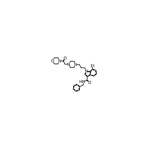 CCc1cccc2c(C(=O)NCc3ccccc3)cn(CCCN3CCN(CC(=O)N4CCOCC4)CC3)c12